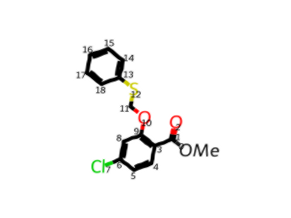 COC(=O)c1ccc(Cl)cc1OCSc1ccccc1